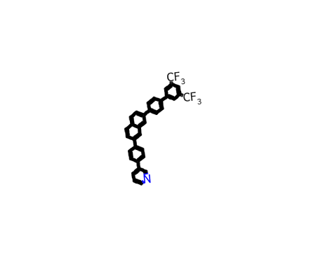 FC(F)(F)c1cc(-c2ccc(-c3ccc4ccc(-c5ccc(-c6cccnc6)cc5)cc4c3)cc2)cc(C(F)(F)F)c1